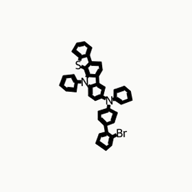 Brc1ccccc1-c1ccc(N(c2ccccc2)c2ccc3c(c2)c2ccc4c5ccccc5sc4c2n3-c2ccccc2)cc1